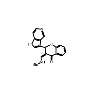 CC(C)(C)N/C=C1\C(=O)c2ccccc2OC1c1c[nH]c2ccncc12